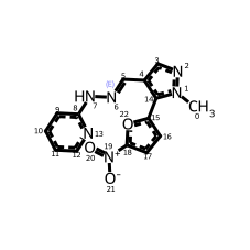 Cn1ncc(/C=N/Nc2ccccn2)c1-c1ccc([N+](=O)[O-])o1